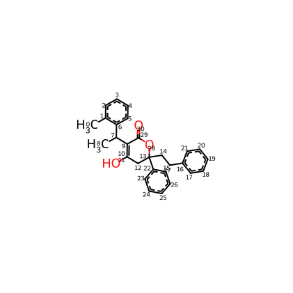 Cc1ccccc1C(C)C1=C(O)CC(CCc2ccccc2)(c2ccccc2)OC1=O